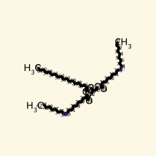 CCCCCCCC/C=C\CCCCCCCC(=O)OCC(COC(=O)CCCCCCC/C=C\CCCCCCCC)OC(=O)CCCCCCCCCCCCCCCCC